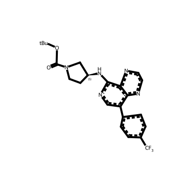 CC(C)(C)OC(=O)N1CC[C@H](Nc2ncc(-c3ccc(C(F)(F)F)cc3)c3nccnc23)C1